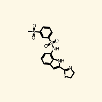 CS(=O)(=O)c1cccc(S(=O)(=O)Nc2cccc3cc(C4=NCCS4)[nH]c23)c1